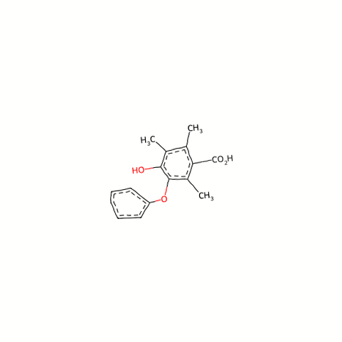 Cc1c(C)c(C(=O)O)c(C)c(Oc2ccccc2)c1O